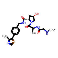 Cc1ncsc1-c1ccc(CNC(=O)[C@@H]2C[C@@H](O)CN2C(=O)C(NC(=O)CNC(=O)O)C(C)(C)C)cc1